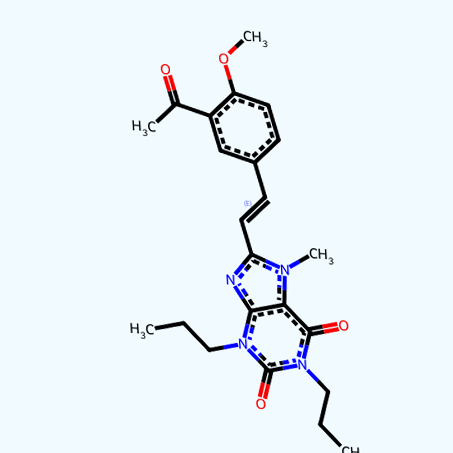 CCCn1c(=O)c2c(nc(/C=C/c3ccc(OC)c(C(C)=O)c3)n2C)n(CCC)c1=O